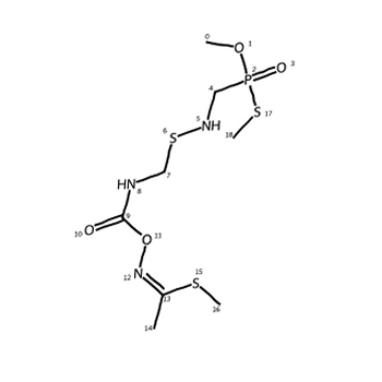 COP(=O)(CNSCNC(=O)ON=C(C)SC)SC